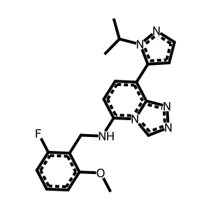 COc1cccc(F)c1CNc1ccc(-c2ccnn2C(C)C)c2nncn12